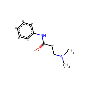 CN(C)CCC(=O)Nc1ccccc1